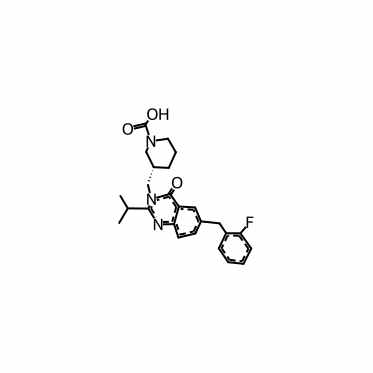 CC(C)c1nc2ccc(Cc3ccccc3F)cc2c(=O)n1C[C@H]1CCCN(C(=O)O)C1